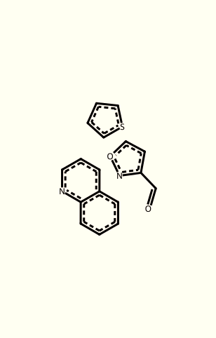 O=Cc1ccon1.c1ccc2ncccc2c1.c1ccsc1